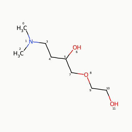 CN(C)CCC(O)COCCO